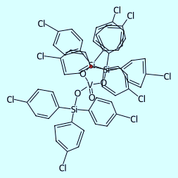 [O]=[V]([O][Si](c1ccc(Cl)cc1)(c1ccc(Cl)cc1)c1ccc(Cl)cc1)([O][Si](c1ccc(Cl)cc1)(c1ccc(Cl)cc1)c1ccc(Cl)cc1)[O][Si](c1ccc(Cl)cc1)(c1ccc(Cl)cc1)c1ccc(Cl)cc1